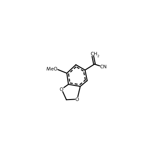 C=C(C#N)c1cc(OC)c2c(c1)OCO2